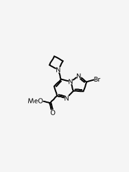 COC(=O)c1cc(N2CCC2)n2nc(Br)cc2n1